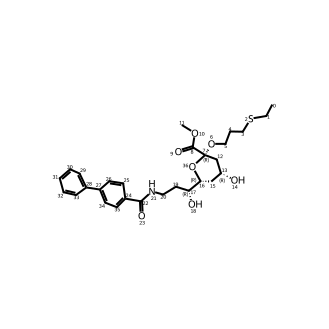 CCSCCCO[C@]1(C(=O)OC)C[C@H](O)C[C@H]([C@H](O)CCNC(=O)c2ccc(-c3ccccc3)cc2)O1